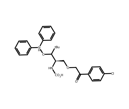 CC(C)(C)C(O[SiH](c1ccccc1)c1ccccc1)[C@@H](COCC(=O)c1ccc(Cl)cc1)NC(=O)O